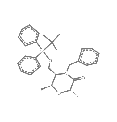 C[C@@H]1O[C@@H](C)[C@@H](CO[Si](c2ccccc2)(c2ccccc2)C(C)(C)C)N(Cc2ccccc2)C1=O